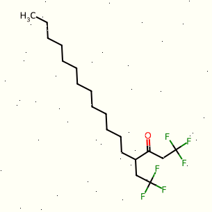 CCCCCCCCCCCCCC(CC(F)(F)F)C(=O)CC(F)(F)F